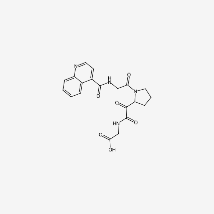 O=C(O)CNC(=O)C(=O)C1CCCN1C(=O)CNC(=O)c1ccnc2ccccc12